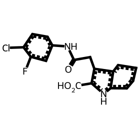 O=C(Cc1c(C(=O)O)[nH]c2ccccc12)Nc1ccc(Cl)c(F)c1